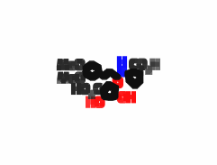 COc1ccc(/C=C/C(=O)Nc2ccccc2C(=O)O)cc1OC.O=C(O)c1ccc(O)cc1O